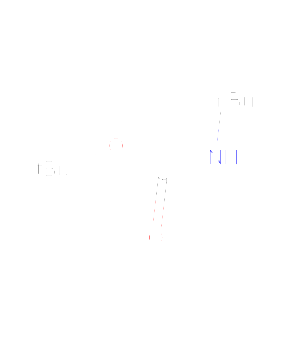 CC[CH]CNC(=O)OC(C)(C)C